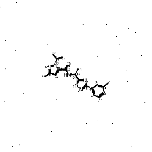 Cc1cccc(-c2noc([C@H](C)NC(=O)c3cc(C)nn3C(C)C)n2)c1